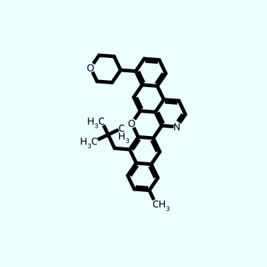 Cc1ccc2c(CC(C)(C)C)c3c(cc2c1)-c1nccc2c1c(cc1c(C4CCOCC4)cccc12)O3